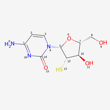 Nc1ccn([C@@H]2O[C@H](CO)[C@@H](O)[C@@H]2S)c(=O)n1